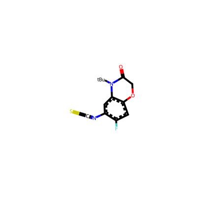 CC(C)(C)N1C(=O)COc2cc(F)c(N=C=S)cc21